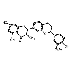 COc1cc([C@@H]2COc3ccc([C@@H]4Oc5cc(O)cc(O)c5C(=O)[C@@H]4C)cc3O2)ccc1O